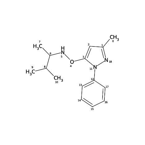 Cc1cc(ONC(C)C(C)C)n(-c2ccccc2)n1